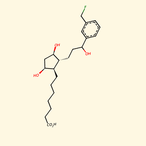 O=C(O)CCCCCC[C@@H]1[C@@H](CCC(O)c2cccc(CF)c2)[C@H](O)C[C@@H]1O